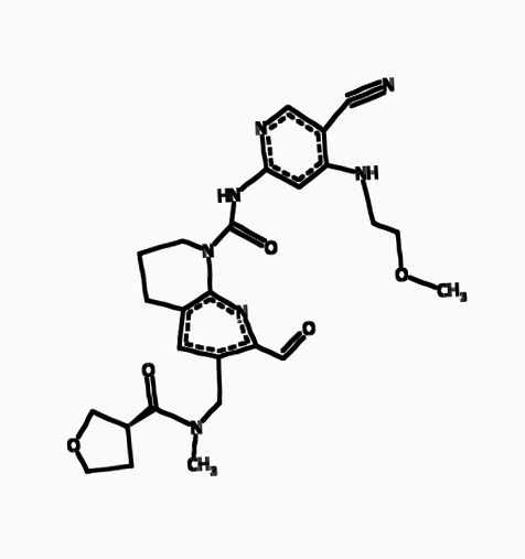 COCCNc1cc(NC(=O)N2CCCc3cc(CN(C)C(=O)[C@H]4CCOC4)c(C=O)nc32)ncc1C#N